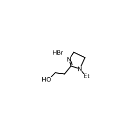 Br.CCN1CCN=C1CCO